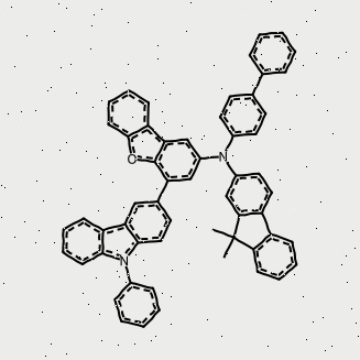 CC1(C)c2ccccc2-c2ccc(N(c3ccc(-c4ccccc4)cc3)c3cc(-c4ccc5c(c4)c4ccccc4n5-c4ccccc4)c4oc5ccccc5c4c3)cc21